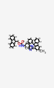 Cc1ccc(C(c2ccccc2)(c2ccccc2)n2cncc2CCC(NC(=O)OCC2c3ccccc3-c3ccccc32)C(=O)O)cc1